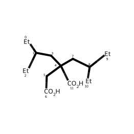 CCC(CC)CC(CC(=O)O)(CC(CC)CC)C(=O)O